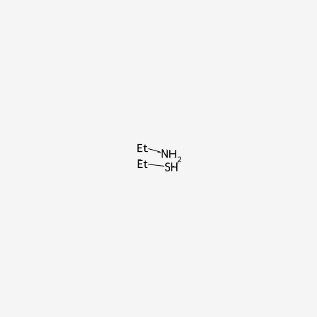 CCN.CCS